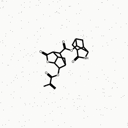 C=C(C)C(=O)OC1C2CC3C1OC(=O)C3C2C(=O)OC1C2CC3C(=O)NC1C3C2